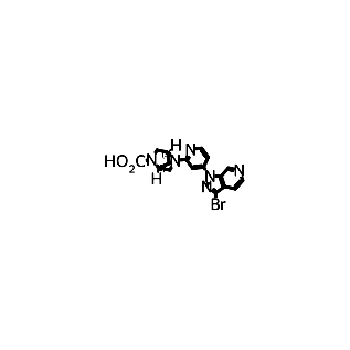 O=C(O)N1C[C@@H]2C[C@H]1CN2c1cc(-n2nc(Br)c3ccncc32)ccn1